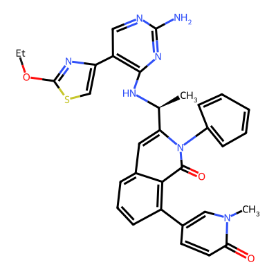 CCOc1nc(-c2cnc(N)nc2N[C@@H](C)c2cc3cccc(-c4ccc(=O)n(C)c4)c3c(=O)n2-c2ccccc2)cs1